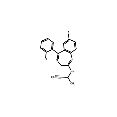 C#CC(C)NC1=Nc2ccc(F)cc2C(c2ccccc2Cl)=NC1